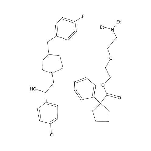 CCN(CC)CCOCCOC(=O)C1(c2ccccc2)CCCC1.OC(CN1CCC(Cc2ccc(F)cc2)CC1)c1ccc(Cl)cc1